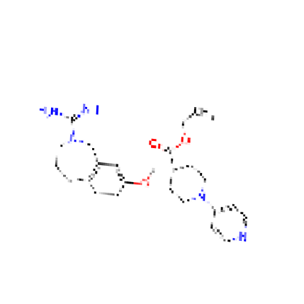 CCOC(=O)C1(COc2ccc3c(c2)CN(C(=N)N)CCC3)CCN(c2ccncc2)CC1